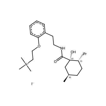 CC(C)[C@@H]1CC[C@@H](C)C[C@@]1(O)C(=O)NCCc1ccccc1OCC[N+](C)(C)C.[I-]